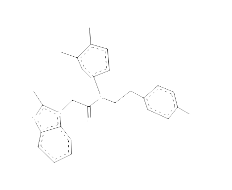 Cc1ccc(N(CCc2ccc(C(F)(F)F)cc2)C(=O)Cn2c(C)nc3ccccc32)cc1C